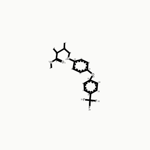 COC(=O)C(C)C(C)COc1ccc(Oc2ccc(C(F)(F)F)cc2)cc1